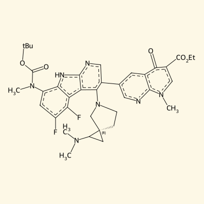 CCOC(=O)c1cn(C)c2ncc(-c3cnc4[nH]c5c(N(C)C(=O)OC(C)(C)C)cc(F)c(F)c5c4c3N3CC[C@@]4(CC4N(C)C)C3)cc2c1=O